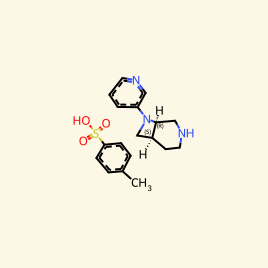 Cc1ccc(S(=O)(=O)O)cc1.c1cncc(N2C[C@@H]3CCNC[C@@H]32)c1